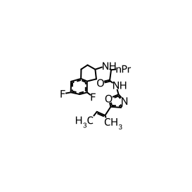 CC=C(C)c1cnc(NC(=O)C(CCC)NC2CCc3cc(F)cc(F)c3C2)o1